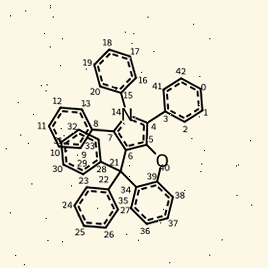 c1ccc(-c2c3c(c(-c4ccccc4)n2-c2ccccc2)C(c2ccccc2)(c2ccccc2)c2ccccc2O3)cc1